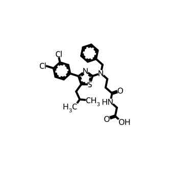 CC(C)Cc1sc(N(CCC(=O)NCC(=O)O)Cc2ccccc2)nc1-c1ccc(Cl)c(Cl)c1